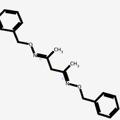 C/C(C/C(C)=N/OCc1ccccc1)=N\OCc1ccccc1